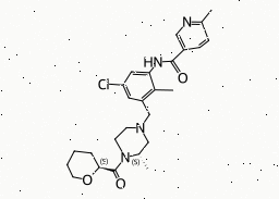 Cc1ccc(C(=O)Nc2cc(Cl)cc(CN3CCN(C(=O)[C@@H]4CCCCO4)[C@@H](C)C3)c2C)cn1